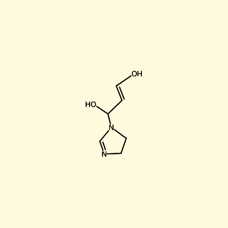 OC=CC(O)N1C=NCC1